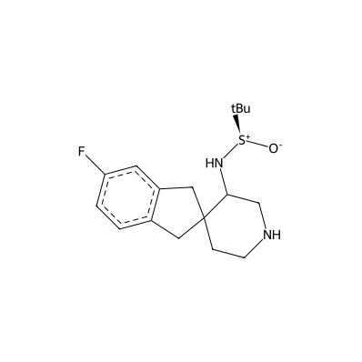 CC(C)(C)[S@@+]([O-])NC1CNCCC12Cc1ccc(F)cc1C2